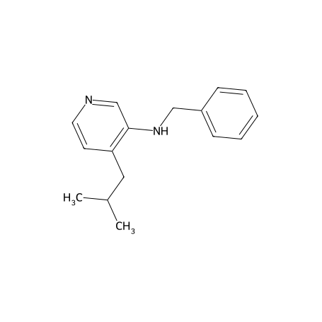 CC(C)Cc1ccncc1NCc1ccccc1